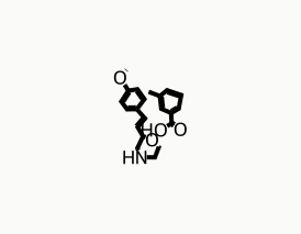 COc1ccc(C=CC2CNCCO2)cc1.Cc1cccc(C(=O)O)c1